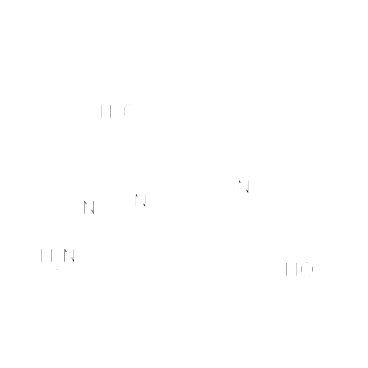 CC(N=NN)c1cccc(CO)n1